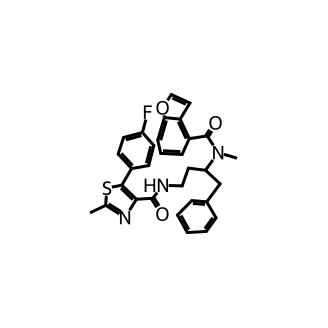 Cc1nc(C(=O)NCCC(Cc2ccccc2)N(C)C(=O)c2cccc3occc23)c(-c2ccc(F)cc2)s1